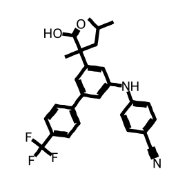 CC(C)CC(C)(C(=O)O)c1cc(Nc2ccc(C#N)cc2)cc(-c2ccc(C(F)(F)F)cc2)c1